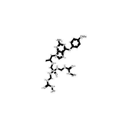 COc1ccc(Sc2nc(N)nc3c2ncn3CC(C)OCP(=O)(OCOC(=O)OC(C)C)OCOC(=O)OC(C)C)cc1